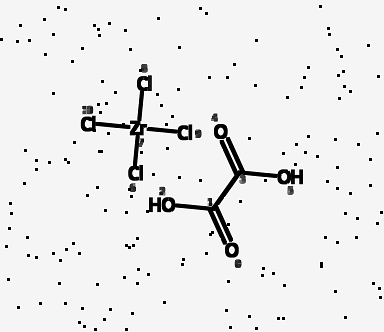 O=C(O)C(=O)O.[Cl][Zr]([Cl])([Cl])[Cl]